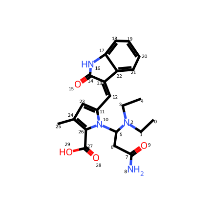 CCN(CC)C(CC(N)=O)n1c(C=C2C(=O)Nc3ccccc32)cc(C)c1C(=O)O